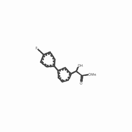 COC(=O)C(O)c1cccc(-c2ccc(F)cc2)c1